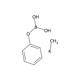 OB(O)Oc1ccccc1.[CH3][K]